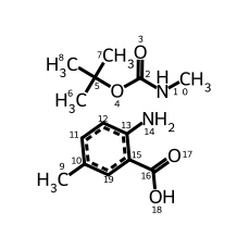 CNC(=O)OC(C)(C)C.Cc1ccc(N)c(C(=O)O)c1